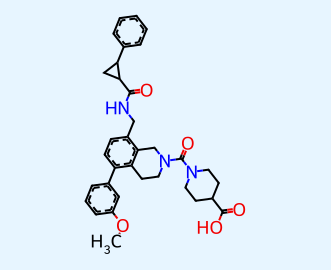 COc1cccc(-c2ccc(CNC(=O)C3CC3c3ccccc3)c3c2CCN(C(=O)N2CCC(C(=O)O)CC2)C3)c1